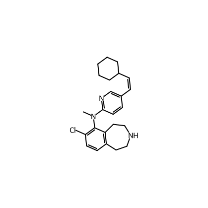 CN(c1ccc(/C=C\C2CCCCC2)cn1)c1c(Cl)ccc2c1CCNCC2